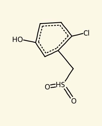 O=[SH](=O)Cc1cc(O)ccc1Cl